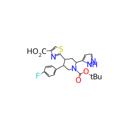 CC(C)(C)OC(=O)N1CC(c2ccc(F)cc2)C(c2nc(C(=O)O)cs2)CC1c1ccn[nH]1